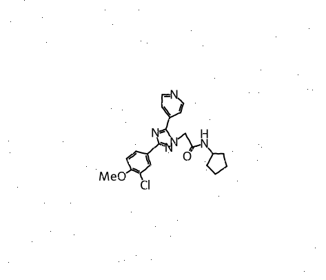 COc1ccc(-c2nc(-c3ccncc3)n(CC(=O)NC3CCCC3)n2)cc1Cl